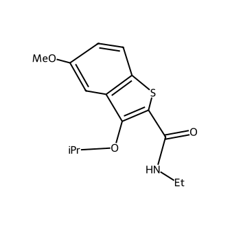 CCNC(=O)c1sc2ccc(OC)cc2c1OC(C)C